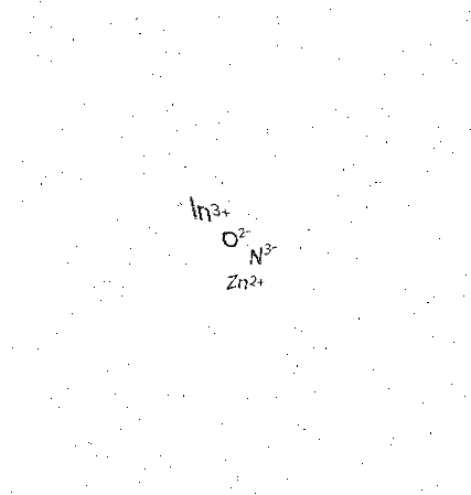 [In+3].[N-3].[O-2].[Zn+2]